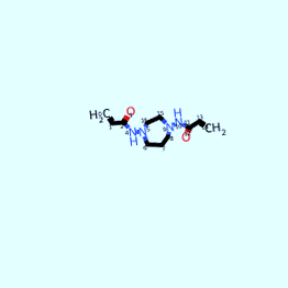 C=CC(=O)NN1CCCN(NC(=O)C=C)CC1